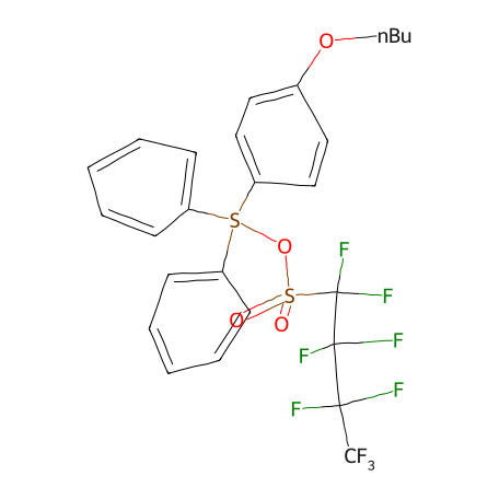 CCCCOc1ccc(S(OS(=O)(=O)C(F)(F)C(F)(F)C(F)(F)C(F)(F)F)(c2ccccc2)c2ccccc2)cc1